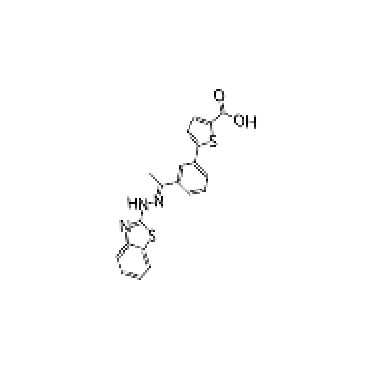 C/C(=N\Nc1nc2ccccc2s1)c1cccc(-c2ccc(C(=O)O)s2)c1